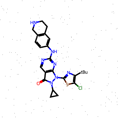 CC(C)(C)c1nc(-n2c3nc(Nc4ccc5c(c4)CCNC5)ncc3c(=O)n2C2CC2)sc1Cl